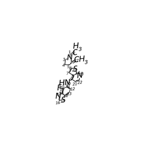 CCN1CC[C@@H](c2cc3c(Nc4ccc5scnc5c4F)ccnc3s2)[C@@H]1C